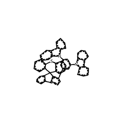 c1ccc2c(c1)Sc1ccccc1C21c2ccccc2-c2cccc(-c3cc(-n4c5ccccc5c5ccccc54)cc(-n4c5ccccc5c5ccccc54)c3)c21